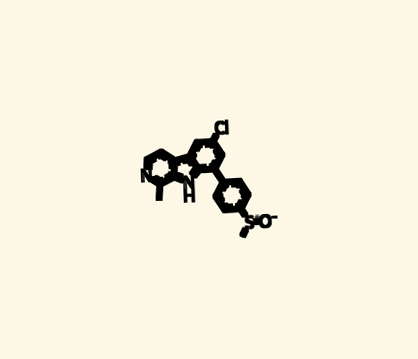 Cc1nccc2c1[nH]c1c(-c3ccc([S+](C)[O-])cc3)cc(Cl)cc12